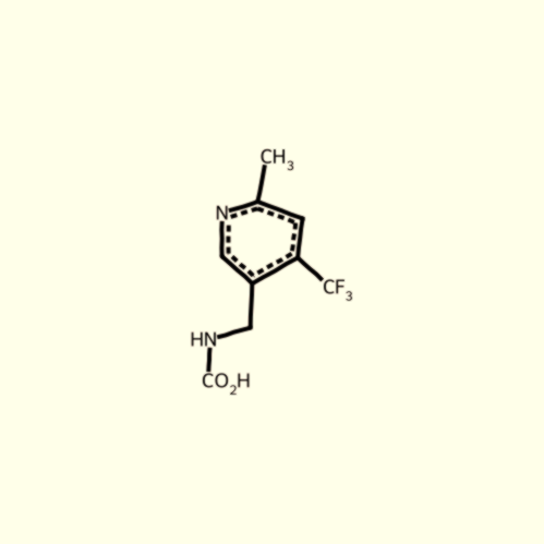 Cc1cc(C(F)(F)F)c(CNC(=O)O)cn1